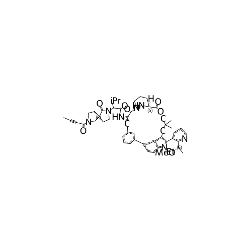 CC#CC(=O)N1CC[C@@]2(CCN(C(C(=O)N[C@H]3Cc4cccc(c4)-c4ccc5c(c4)c(c(-c4cccnc4[C@H](C)OC)n5CC)CC(C)(C)COC(=O)[C@@H]4CCCN(N4)C3=O)C(C)C)C2=O)C1